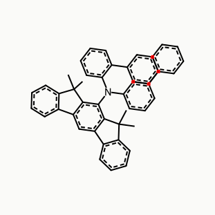 CC1(C)c2ccccc2-c2cc3c(c(N(c4cccc(-c5ccccc5)c4)c4ccccc4-c4ccccc4)c21)C(C)(C)c1ccccc1-3